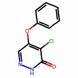 O=c1[nH]ncc(Oc2ccccc2)c1Cl